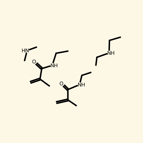 C=C(C)C(=O)NCC.C=C(C)C(=O)NCC.CCNCC.CNC